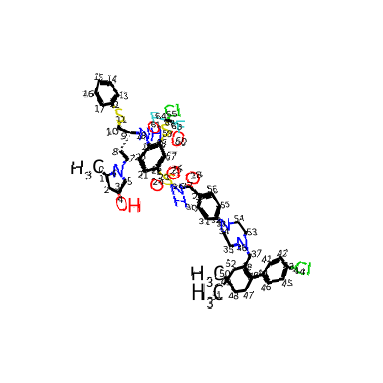 CC1CC(O)CN1CC[C@H](CSc1ccccc1)Nc1ccc(S(=O)(=O)NC(=O)c2ccc(N3CCN(CC4=C(c5ccc(Cl)cc5)CCC(C)(C)C4)CC3)cc2)cc1S(=O)(=O)C(F)(F)Cl